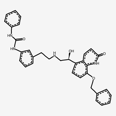 O=C(Nc1ccccc1)Nc1cccc(CCNC[C@@H](O)c2ccc(OCc3ccccc3)c3[nH]c(=O)ccc23)c1